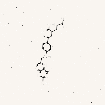 NC(=O)CCC(CC(=O)c1ccc(NCc2cnc3nc(N)nc(O)c3n2)cc1)C(=O)O